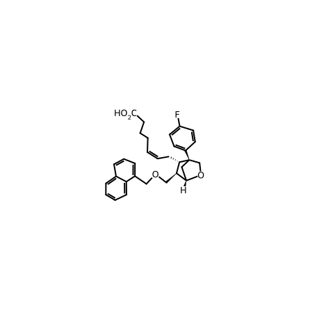 O=C(O)CCC/C=C\C[C@H]1[C@H](COCc2cccc3ccccc23)[C@@H]2C[C@@]1(c1ccc(F)cc1)CO2